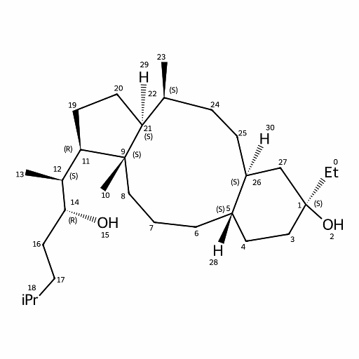 CC[C@]1(O)CC[C@@H]2CCC[C@]3(C)[C@@H]([C@H](C)[C@H](O)CCC(C)C)CC[C@H]3[C@@H](C)CC[C@H]2C1